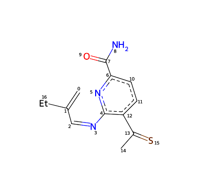 C=C(/C=N\c1nc(C(N)=O)ccc1C(C)=S)CC